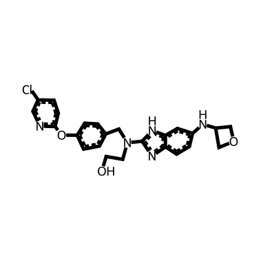 OCCN(Cc1ccc(Oc2ccc(Cl)cn2)cc1)c1nc2ccc(NC3COC3)cc2[nH]1